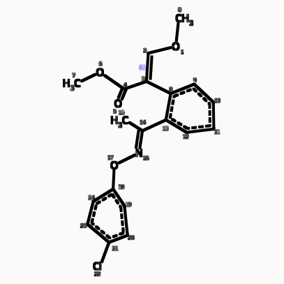 CO/C=C(/C(=O)OC)c1ccccc1C(C)=NOc1ccc(Cl)cc1